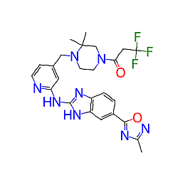 Cc1noc(-c2ccc3nc(Nc4cc(CN5CCN(C(=O)CC(F)(F)F)CC5(C)C)ccn4)[nH]c3c2)n1